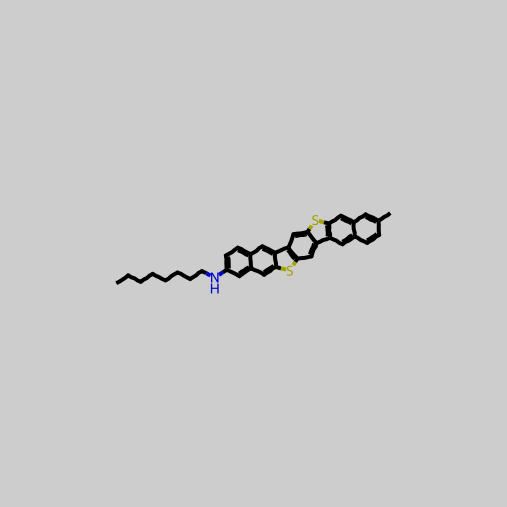 CCCCCCCCNc1ccc2cc3c(cc2c1)sc1cc2c(cc13)sc1cc3cc(C)ccc3cc12